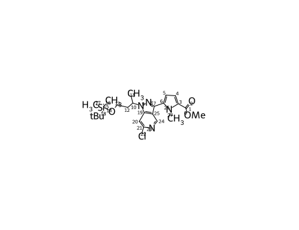 COC(=O)c1ccc(-c2nn(C(C)CCO[Si](C)(C)C(C)(C)C)c3cc(Cl)ncc23)n1C